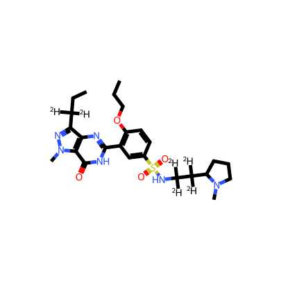 [2H]C([2H])(CC)c1nn(C)c2c(=O)[nH]c(-c3cc(S(=O)(=O)NC([2H])([2H])C([2H])([2H])C4CCCN4C)ccc3OCCC)nc12